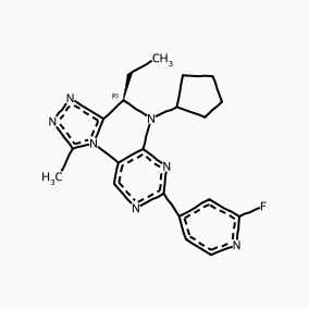 CC[C@@H]1c2nnc(C)n2-c2cnc(-c3ccnc(F)c3)nc2N1C1CCCC1